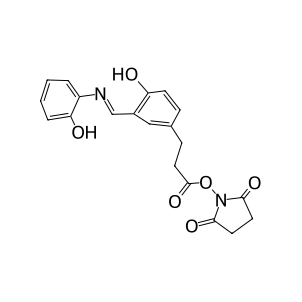 O=C(CCc1ccc(O)c(C=Nc2ccccc2O)c1)ON1C(=O)CCC1=O